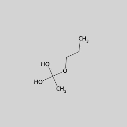 CCCOC(C)(O)O